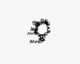 COc1ccc2nc3c(nc2c1)O[C@H]1CN(C(=O)[C@H](C(C)(C)C)NC(=O)O[C@@H]2C[C@H]2CCCCCC3)[C@H](C(C)=O)[C@@H]1OC